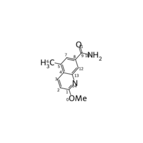 COc1ccc2c(C)cc(C(N)=O)cc2n1